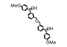 COc1ccc(B(O)c2cccc(COCc3cccc(B(O)c4ccc(OC)cc4)c3)c2)cc1